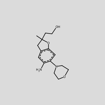 CC1(CCO)Cc2cc(N)c(N3CCOCC3)cc2O1